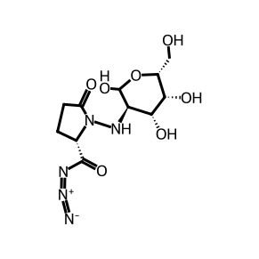 [N-]=[N+]=NC(=O)[C@@H]1CCC(=O)N1N[C@H]1C(O)O[C@H](CO)[C@H](O)[C@@H]1O